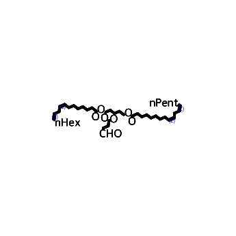 CCCCC/C=C\C/C=C\CCCCCCCC(=O)OCCC(CCOC(=O)CCCCCC/C=C\C/C=C\CCCCCC)OC(=O)CCC=O